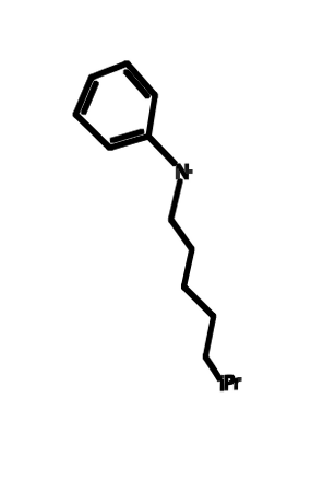 CC(C)CCCCC[N]c1ccccc1